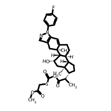 COC(=O)CSC(=O)OC(=O)C(C)[C@H]1CC[C@H]2[C@@H]3CCC4=Cc5c(cnn5-c5ccc(F)cc5)C[C@]4(C)[C@H]3[C@@H](O)C[C@]12C